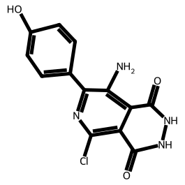 Nc1c(-c2ccc(O)cc2)nc(Cl)c2c(=O)[nH][nH]c(=O)c12